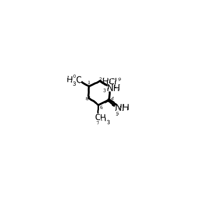 CC1CNC(=N)C(C)C1.Cl